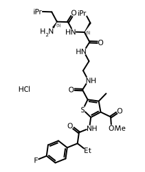 CCC(C(=O)Nc1sc(C(=O)NCCNC(=O)[C@H](CC(C)C)NC(=O)[C@@H](N)CC(C)C)c(C)c1C(=O)OC)c1ccc(F)cc1.Cl